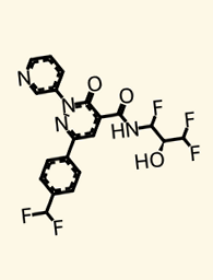 O=C(NC(F)[C@H](O)C(F)F)c1cc(-c2ccc(C(F)F)cc2)nn(-c2cccnc2)c1=O